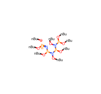 CCCCON(P(N=[PH](OCCCC)OCCCC)OCCCC)P(OCCCC)N(OCCCC)P(OCCCC)OCCCC